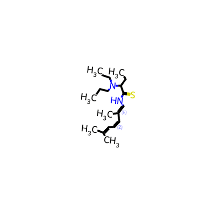 CCCN(CCC)C(CC)C(=S)N/C=C(C)/C=C\C=C(C)C